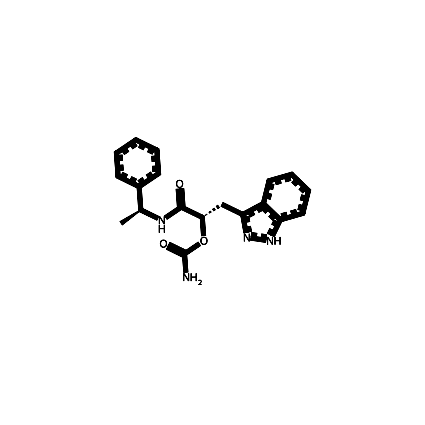 C[C@H](NC(=O)[C@H](Cc1n[nH]c2ccccc12)OC(N)=O)c1ccccc1